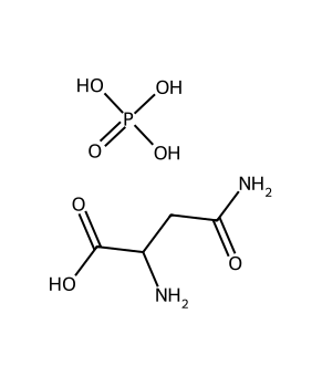 NC(=O)CC(N)C(=O)O.O=P(O)(O)O